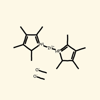 CC1=C(C)C(C)[PH]([Zr+2][PH]2=C(C)C(C)=C(C)C2C)=C1C.C[O-].C[O-]